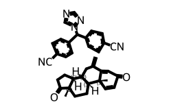 C=C1C[C@@H]2[C@H](CC[C@]3(C)C(=O)CC[C@@H]23)[C@@]2(C)C=CC(=O)C=C12.N#Cc1ccc(C(c2ccc(C#N)cc2)n2cncn2)cc1